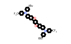 CC(C)(C)c1ccc(N(c2ccc(C(F)(F)F)cc2)c2ccc3cc4c(cc3c2)oc2cc3c(cc24)oc2cc4cc(N(c5ccc(C(C)(C)C)cc5)c5ccc(C(F)(F)F)cc5)ccc4cc23)cc1